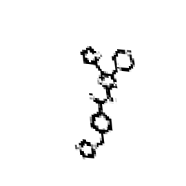 O=C(Nc1nc(-c2ccco2)c(N2CCOCC2)s1)c1ccc(Cn2ccnc2)cc1